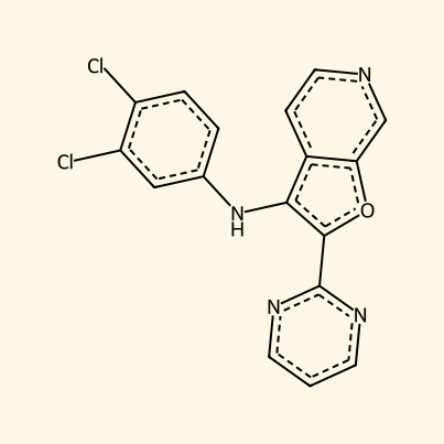 Clc1ccc(Nc2c(-c3ncccn3)oc3cnccc23)cc1Cl